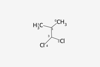 CC(C)C(Cl)Cl